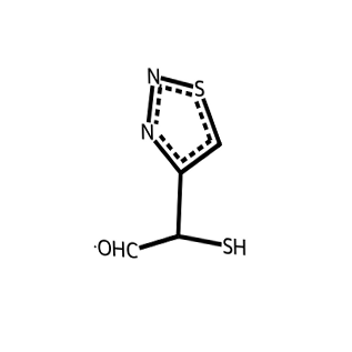 O=[C]C(S)c1csnn1